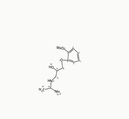 COc1ccccc1OCC(O)CNC(C)N